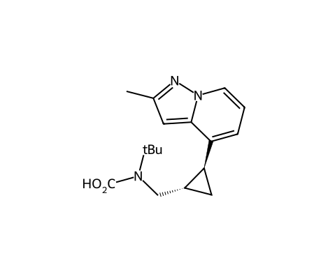 Cc1cc2c([C@H]3C[C@@H]3CN(C(=O)O)C(C)(C)C)cccn2n1